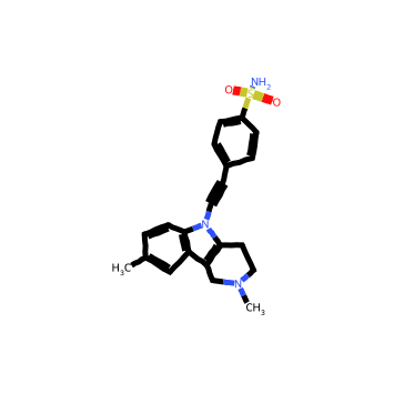 Cc1ccc2c(c1)c1c(n2C#Cc2ccc(S(N)(=O)=O)cc2)CCN(C)C1